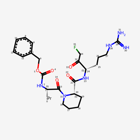 CC(C)[C@H](NC(=O)OCc1ccccc1)C(=O)N1CCCC[C@H]1C(=O)N[C@@H](CCCNC(=N)N)C(=O)CF